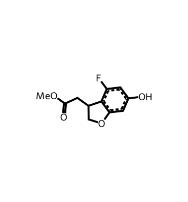 COC(=O)CC1COc2cc(O)cc(F)c21